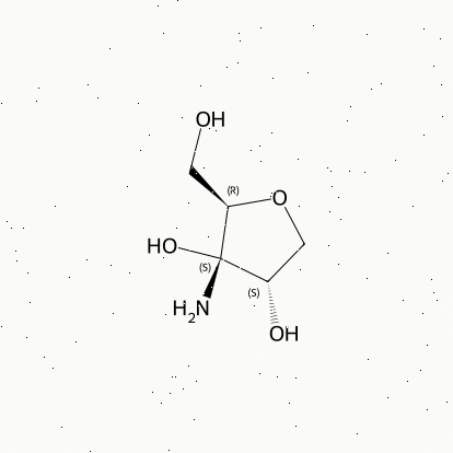 N[C@]1(O)[C@@H](O)CO[C@@H]1CO